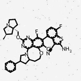 C[C@H]1CN2CCC[C@@]2(COc2nc3c4c(c(Cl)c(-c5ccc(F)c6sc(N)c(C#N)c56)c(F)c4n2)OCCC2CC(c4ccccc4)CN32)C1